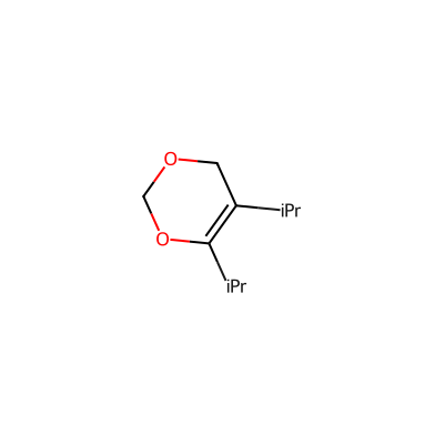 CC(C)C1=C(C(C)C)OCOC1